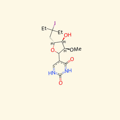 CCC(I)(CC)C[C@H]1OC(c2c[nH]c(=O)[nH]c2=O)[C@H](OC)[C@@H]1O